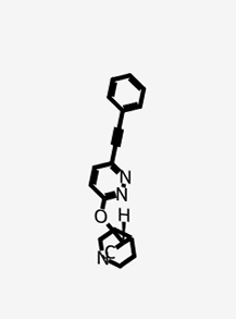 C(#Cc1ccc(O[C@H]2CN3CCC2CC3)nn1)c1ccccc1